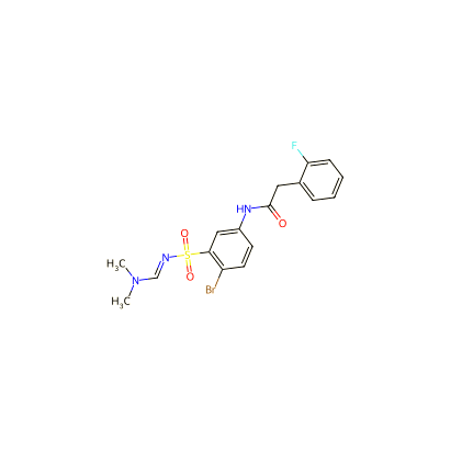 CN(C)C=NS(=O)(=O)c1cc(NC(=O)Cc2ccccc2F)ccc1Br